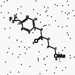 COCCCC(=O)Cc1ccc(C(F)(F)F)cc1